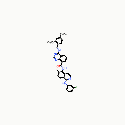 COc1ccc(CNc2ncnc3c(C(=O)Nc4c(C)ccc5c(Nc6cccc(Cl)c6)nccc45)cccc23)c(OC)c1